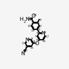 Cc1cc(-c2cc(Oc3cncc(C#N)c3)ccn2)ccc1C(N)=O